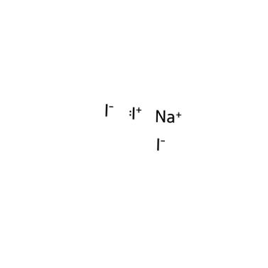 [I+].[I-].[I-].[Na+]